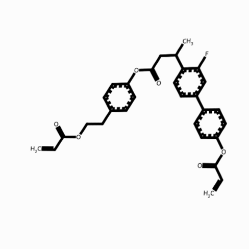 C=CC(=O)OCCc1ccc(OC(=O)CC(C)c2ccc(-c3ccc(OC(=O)C=C)cc3)cc2F)cc1